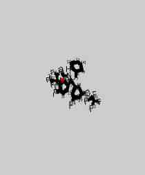 CC(NC(=O)N[C@](Cc1ccccc1)(c1ccc(F)cc1)c1cc(F)cc(OC(F)(F)C(F)F)c1)(C(F)F)C(F)(F)F